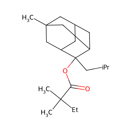 CCC(C)(C)C(=O)OC1(CC(C)C)C2CC3CC1CC(C)(C3)C2